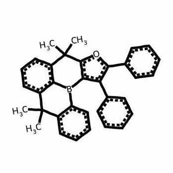 CC1(C)c2ccccc2B2c3c1cccc3C(C)(C)c1oc(-c3ccccc3)c(-c3ccccc3)c12